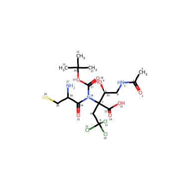 CC(=O)NC[C@H](O)C(CC(Cl)(Cl)Cl)(C(=O)O)N(C(=O)OC(C)(C)C)C(=O)C(N)CS